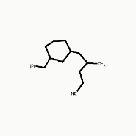 CC(C)CC1CCCC(CC(C)CCC#N)C1